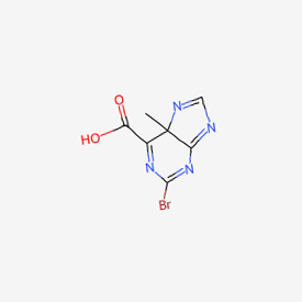 CC12N=CN=C1N=C(Br)N=C2C(=O)O